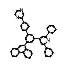 c1ccc(-c2cc(-c3cc(-c4ccc(-c5cnccn5)cc4)cc(-c4cc5ccccc5c5ccccc45)c3)cc(-c3ccccc3)n2)cc1